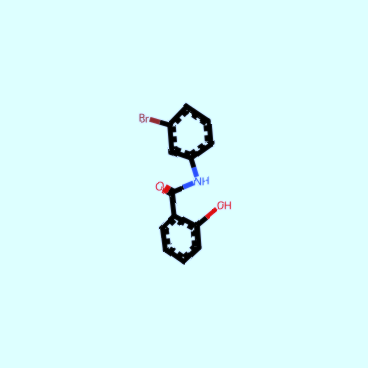 O=C(Nc1cccc(Br)c1)c1ccccc1O